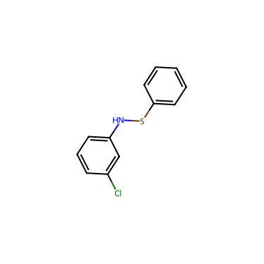 Clc1cccc(NSc2ccccc2)c1